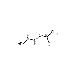 CCCNNO[C@@H](C)O